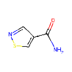 NC(=O)c1cnsc1